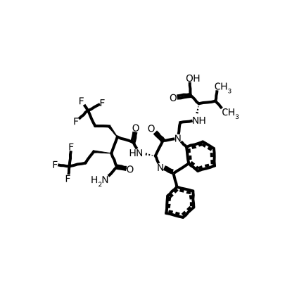 CC(C)[C@H](NCN1C(=O)[C@@H](NC(=O)[C@H](CCC(F)(F)F)[C@H](CCC(F)(F)F)C(N)=O)N=C(c2ccccc2)c2ccccc21)C(=O)O